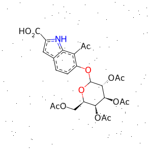 CC(=O)OC[C@H]1OC(Oc2ccc3cc(C(=O)O)[nH]c3c2C(C)=O)[C@H](OC(C)=O)[C@@H](OC(C)=O)[C@H]1OC(C)=O